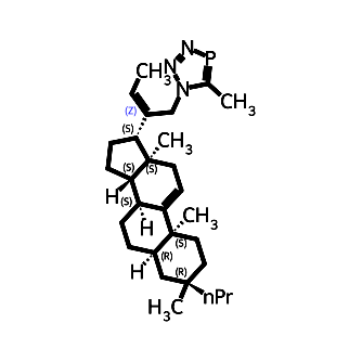 C/C=C(\Cn1nnpc1C)[C@H]1CC[C@H]2[C@@H]3CC[C@@H]4C[C@](C)(CCC)CC[C@]4(C)C3=CC[C@]12C